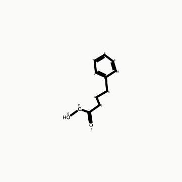 O=C(CCCc1ccccc1)OO